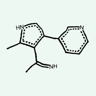 CC(=N)c1c(-c2cccnc2)c[nH]c1C